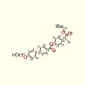 CCCCCCCCOc1ccc(-c2ccc(C(=O)Oc3ccc(C(C)C(=O)OCC(C)CC)cc3)cc2)cc1